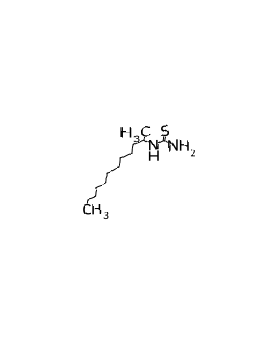 CCCCCCCCCCC(C)NC(N)=S